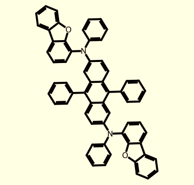 c1ccc(-c2c3ccc(N(c4ccccc4)c4cccc5c4oc4ccccc45)cc3c(-c3ccccc3)c3ccc(N(c4ccccc4)c4cccc5c4oc4ccccc45)cc23)cc1